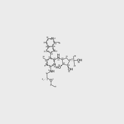 CCO[C@H](C)CNc1nc(C)c(-c2nc3c(C)nccc3s2)c(NC2C[C@H](C(C)(C)O)[C@@H](O)[C@H]2O)n1